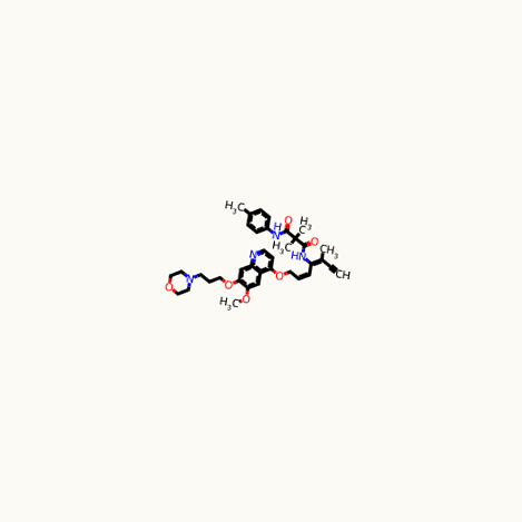 C#C/C(C)=C(\C=C/COc1ccnc2cc(OCCCN3CCOCC3)c(OC)cc12)NC(=O)C(C)(C)C(=O)Nc1ccc(C)cc1